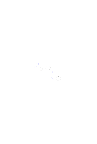 CC(C)(Nc1ccc(Cl)cc1)C(=O)Nc1cccc(-c2csc(C(=N)N)c2)c1